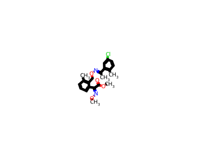 CO/N=C(/C(=O)OC)c1cccc(C)c1CO/N=C(\C)c1cc(Cl)ccc1C